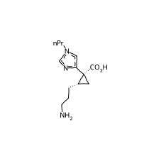 CCCn1cnc([C@@]2(C(=O)O)C[C@@H]2CCCN)c1